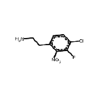 NCCc1ccc(Cl)c(F)c1[N+](=O)[O-]